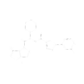 Cc1cc(-c2ccc(C(=O)NC(C(=O)N3C[C@H](Cl)[C@H]4OCC(=O)[C@H]43)C3CCCCC3)s2)ccn1